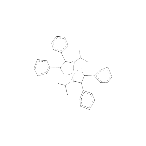 CC(C)N1C(c2ccccc2)C(c2ccccc2)O[Si]12OC(c1ccccc1)C(c1ccccc1)N2C(C)C